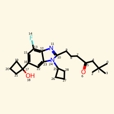 CC(C)(C)CC(=O)CCCc1nc2c(F)cc(C3(O)CCC3)cc2n1C1CCC1